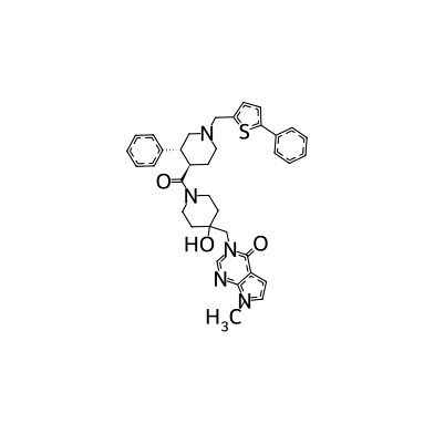 Cn1ccc2c(=O)n(CC3(O)CCN(C(=O)[C@@H]4CCN(Cc5ccc(-c6ccccc6)s5)C[C@H]4c4ccccc4)CC3)cnc21